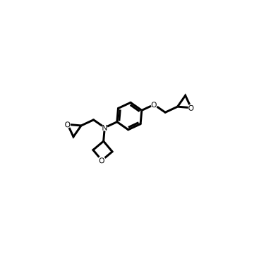 c1cc(N(CC2CO2)C2COC2)ccc1OCC1CO1